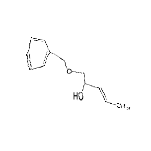 CC=CC(O)COCc1ccccc1